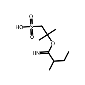 CCC(C)C(=N)OC(C)(C)CS(=O)(=O)O